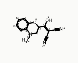 CN1CC(C(O)=C(C#N)C#N)Oc2ccccc21